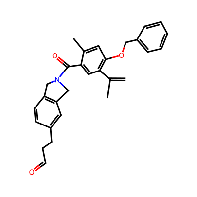 C=C(C)c1cc(C(=O)N2Cc3ccc(CCC=O)cc3C2)c(C)cc1OCc1ccccc1